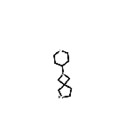 C1CC2(CN1)CN(C1CCOCC1)C2